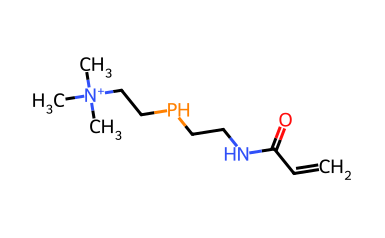 C=CC(=O)NCCPCC[N+](C)(C)C